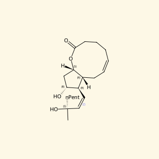 CCCCC[C@](C)(O)/C=C\[C@@H]1[C@H]2CC=CCCCC(=O)O[C@H]2C[C@H]1O